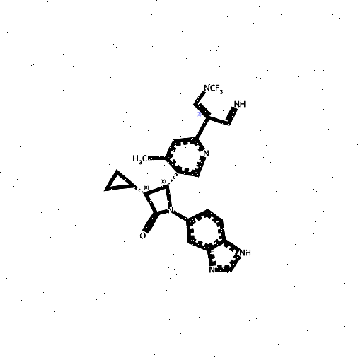 Cc1cc(/C(C=N)=C/NC(F)(F)F)ncc1[C@H]1[C@@H](C2CC2)C(=O)N1c1ccc2[nH]cnc2c1